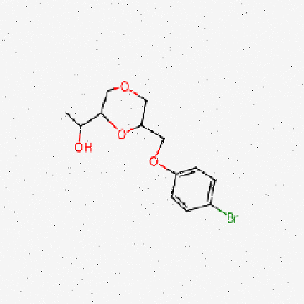 CC(O)C1COCC(COc2ccc(Br)cc2)O1